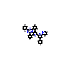 c1ccc(-c2cc(-c3ccccn3)nc(-c3cccc(-c4ccccc4-c4nc(-c5ccccc5)nc(-c5ccccc5)n4)n3)c2)cc1